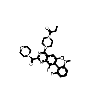 CCC(=O)N1CCN(c2nc(C(=O)N3CCOCC3)nc3c(F)c(-c4c(F)cccc4OC)c(Cl)cc23)CC1